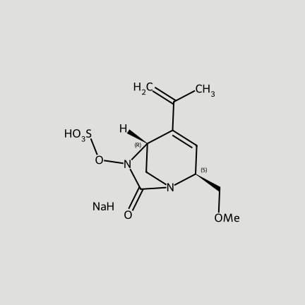 C=C(C)C1=C[C@@H](COC)N2C[C@@H]1N(OS(=O)(=O)O)C2=O.[NaH]